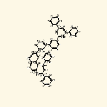 C1=C(c2cccc(-c3nc(-c4ccccc4)cc(-c4ccccc4)n3)c2)C=C(c2ccc3ccc4nc(-c5ccccc5)cc(-c5ccccc5)c4c3c2)CC1